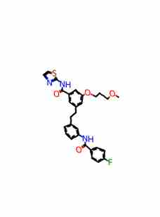 COCCCOc1cc(CCc2cccc(NC(=O)c3ccc(F)cc3)c2)cc(C(=O)Nc2nccs2)c1